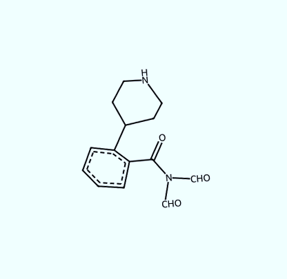 O=CN(C=O)C(=O)c1ccccc1C1CCNCC1